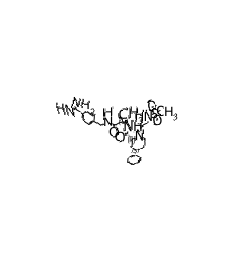 C[C@H](NC(=O)[C@H]1C[C@@H](c2ccccc2)CCN1CCNS(C)(=O)=O)C(=O)NCc1ccc(C(=N)N)cc1